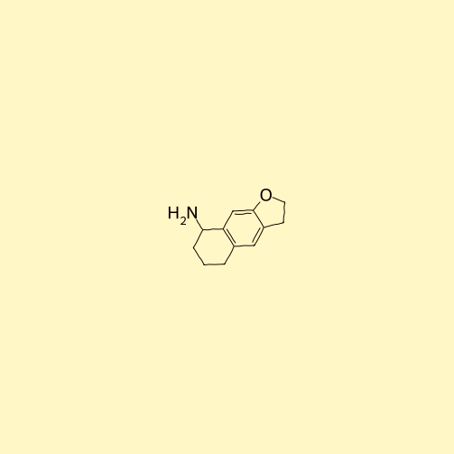 NC1CCCc2cc3c(cc21)OCC3